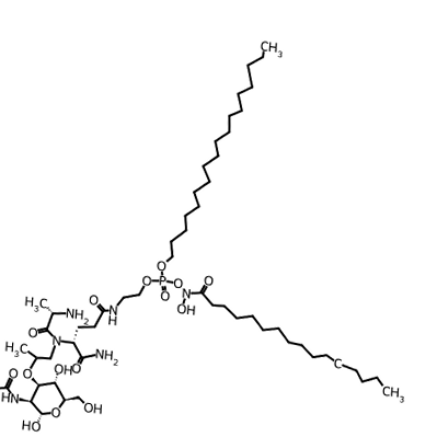 CCCCCCCCCCCCCCCCCCOP(=O)(OCCNC(=O)CC[C@H](C(N)=O)N(CC(C)O[C@H]1[C@H](O)[C@@H](CO)O[C@H](O)[C@H]1NC(C)=O)C(=O)[C@H](C)N)ON(O)C(=O)CCCCCCCCCCCCCCC